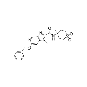 Cn1c(C(=O)NC2(C)CCS(=O)(=O)CC2)nc2cnc(OCc3ccccc3)cc21